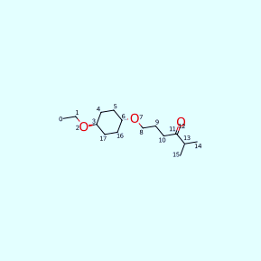 CCO[C@H]1CC[C@H](OCCCC(=O)C(C)C)CC1